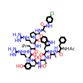 CC(=O)N[C@H](Cc1ccccc1)C(=O)N[C@@H](C)C(=O)N[C@H](Cc1c[nH]c2ccccc12)C(=O)N[C@@H](CO)C(=O)N[C@@H](Cc1ccc(O)cc1)C(=O)N[C@H](CCCNC(=N)N)C(=O)N[C@@H](CC(C)C)C(=O)N[C@@H](CCCNC(=N)N)C(=O)N1CCC[C@H]1C(=O)N[C@H](C)C(=O)Nc1ccc(Cl)cc1